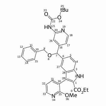 CCOC(=O)c1[nH]c2ccc(C(OCc3ccccc3)c3ccnc(NC(=O)OC(C)(C)C)c3)cc2c1-c1cccnc1OC